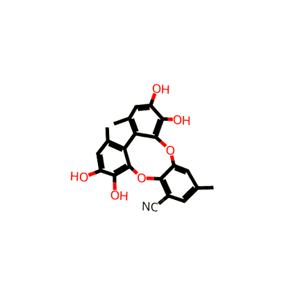 Cc1cc(C#N)c2oc3c(O)c(O)cc(C)c3c3c(C)cc(O)c(O)c3oc2c1